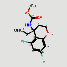 CC(C)(C)OC(=O)N[C@]1(CC=O)CCOc2cc(F)cc(F)c21